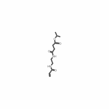 C=CC(=O)NCCNC(=O)CCC(=O)OC(C)C